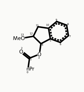 CCCC(=O)OC1c2ccccc2CC1OC